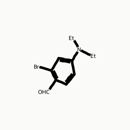 CCN(CC)c1ccc(C=O)c(Br)c1